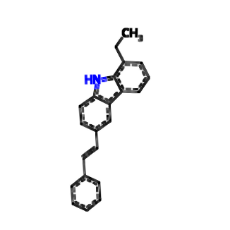 CCc1cccc2c1[nH]c1ccc(C=Cc3ccccc3)cc12